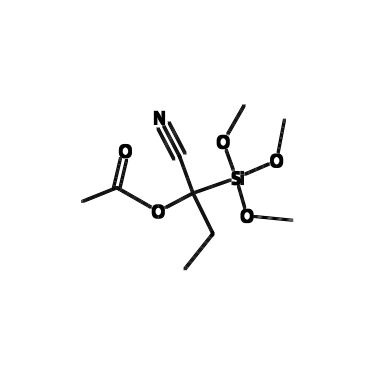 CCC(C#N)(OC(C)=O)[Si](OC)(OC)OC